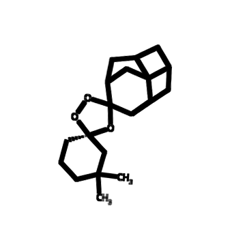 CC1(C)CCC[C@]2(C1)OOC1(O2)C2CC3CC4CC1CC34C2